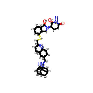 O=C1CCC(N2Cc3c(SCc4ccc5cc(CNC67CC8CC(CC(C8)C6)C7)ccc5n4)cccc3C2=O)C(=O)N1